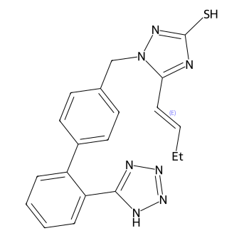 CC/C=C/c1nc(S)nn1Cc1ccc(-c2ccccc2-c2nnn[nH]2)cc1